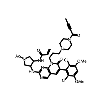 C=CC(=O)NC1CN(C(C)=O)CC1Nc1ncc2cc(-c3c(Cl)c(OC)cc(OC)c3Cl)c(=O)n(CCCN3CCN(C(=O)C#CC)CC3)c2n1